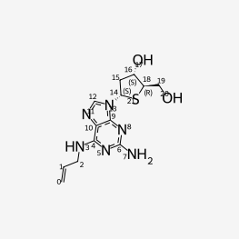 C=CCNc1nc(N)nc2c1ncn2[C@@H]1C[C@H](O)[C@@H](CO)S1